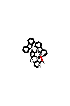 c1ccc2c(c1)-c1ccccc1[Si]21c2ccc3c4c2-n2c5c1cccc5c1ccc[n+](c12)[N+]41c2c(ccnc2-c2cccc[n+]21)O3